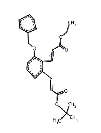 CCOC(=O)/C=C/c1c(/C=C/C(=O)OC(C)(C)C)cccc1OCc1ccccc1